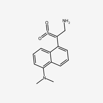 CN(C)c1cccc2c(C(CN)=S(=O)=O)cccc12